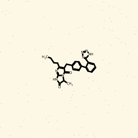 CCCCc1nc2n(c(=O)c1Cc1ccc(-c3ccccc3-c3nnn[nH]3)cc1)C(C)C(=O)N2